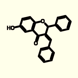 O=C1C(=Cc2ccccc2)C(c2ccccc2)Oc2ccc(O)cc21